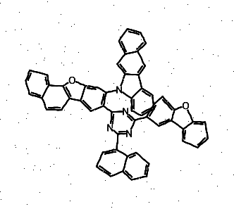 c1ccc2cc3c(cc2c1)c1ccccc1n3-c1cc2oc3c4ccccc4ccc3c2cc1-c1nc(-c2ccc3oc4ccccc4c3c2)nc(-c2cccc3ccccc23)n1